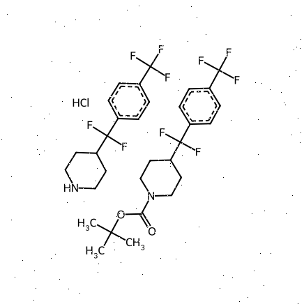 CC(C)(C)OC(=O)N1CCC(C(F)(F)c2ccc(C(F)(F)F)cc2)CC1.Cl.FC(F)(F)c1ccc(C(F)(F)C2CCNCC2)cc1